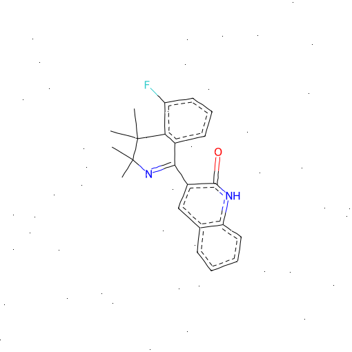 CC1(C)N=C(c2cc3ccccc3[nH]c2=O)c2cccc(F)c2C1(C)C